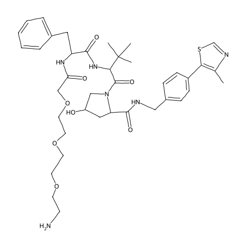 Cc1ncsc1-c1ccc(CNC(=O)C2CC(O)CN2C(=O)C(NC(=O)C(Cc2ccccc2)NC(=O)COCCOCCOCCN)C(C)(C)C)cc1